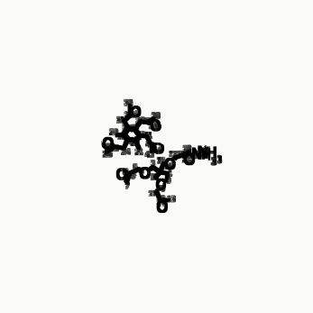 CCC(COCC1CO1)(COCC1CO1)COCC1CO1.Cc1c(CC2CO2)c(C)c(CC2CO2)c(CC2CO2)c1CC1CO1.N.N